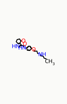 CCCCCNCCCOc1ccc(NC(=O)c2c[nH]c3c2C(=O)CCC3)cc1